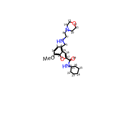 COc1ccc(CNCCN2CCOCC2)c2cc(C(=O)NC3CCCCC3)oc12